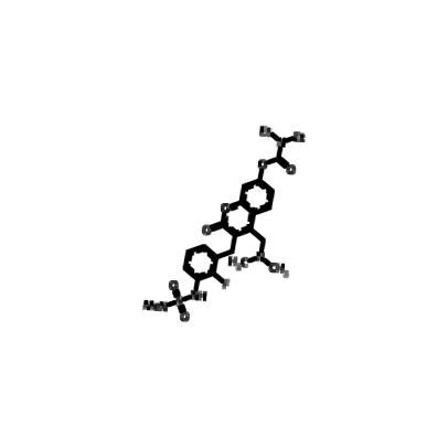 CCN(CC)C(=O)Oc1ccc2c(CN(C)C)c(Cc3cccc(NS(=O)(=O)NC)c3F)c(=O)oc2c1